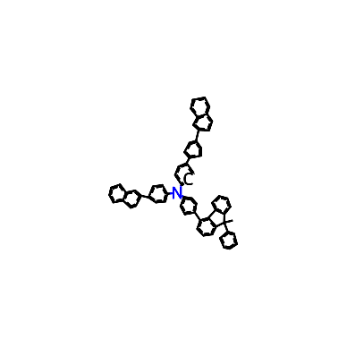 CC1(c2ccccc2)c2ccccc2-c2c(-c3ccc(N(c4ccc(-c5ccc(-c6ccc7ccccc7c6)cc5)cc4)c4ccc(-c5ccc6ccccc6c5)cc4)cc3)cccc21